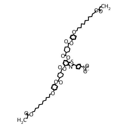 C=CC(=O)OCCCCCCCCCCCOc1ccc(OC(=O)C2CCC(C(=O)Oc3ccc(OC(=O)C4CCC(C(=O)Oc5ccc(OCCCCCCCCCCCOC(=O)C=C)cc5)CC4)c4sc(-c5ccc([N+](=O)[O-])cc5)nc34)CC2)cc1